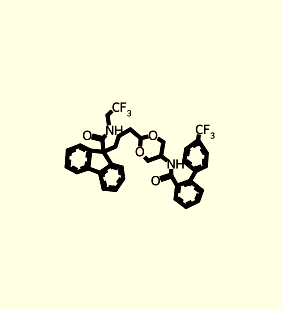 O=C(NC1COC(CCCC2(C(=O)NCC(F)(F)F)c3ccccc3-c3ccccc32)OC1)c1ccccc1-c1ccc(C(F)(F)F)cc1